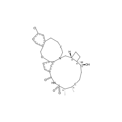 C[C@H]1CCC[C@H](O)[C@@H]2CC[C@H]2CN2CCCCc3cc(Cl)ccc3COc3ccc(cc32)C(=O)NS(=O)(=O)[C@H]1C